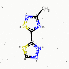 Cc1nsc(-c2nncs2)n1